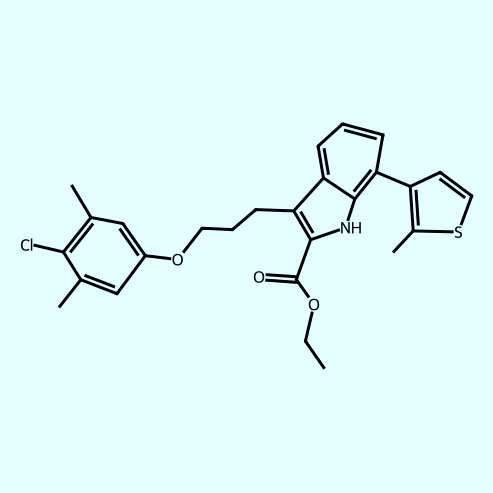 CCOC(=O)c1[nH]c2c(-c3ccsc3C)cccc2c1CCCOc1cc(C)c(Cl)c(C)c1